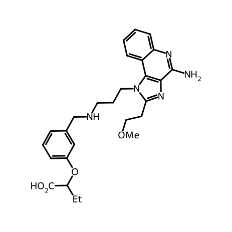 CCC(Oc1cccc(CNCCCn2c(CCOC)nc3c(N)nc4ccccc4c32)c1)C(=O)O